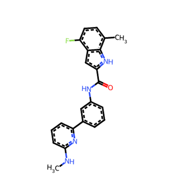 CNc1cccc(-c2cccc(NC(=O)c3cc4c(F)ccc(C)c4[nH]3)c2)n1